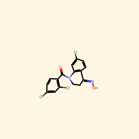 O=C(c1ccc(Cl)cc1Cl)N1CCC(=NO)c2ccc(Cl)cc21